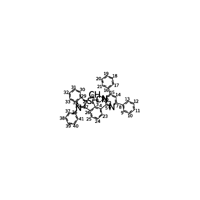 C[Si]1(C)c2c(-c3nc(-c4ccccc4)cc(-c4ccccc4)n3)cccc2-c2c1c1ccccc1n2-c1ccccc1